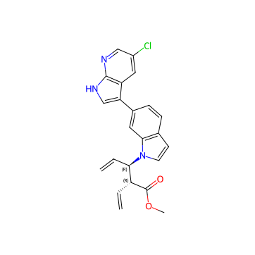 C=C[C@H]([C@@H](C=C)C(=O)OC)n1ccc2ccc(-c3c[nH]c4ncc(Cl)cc34)cc21